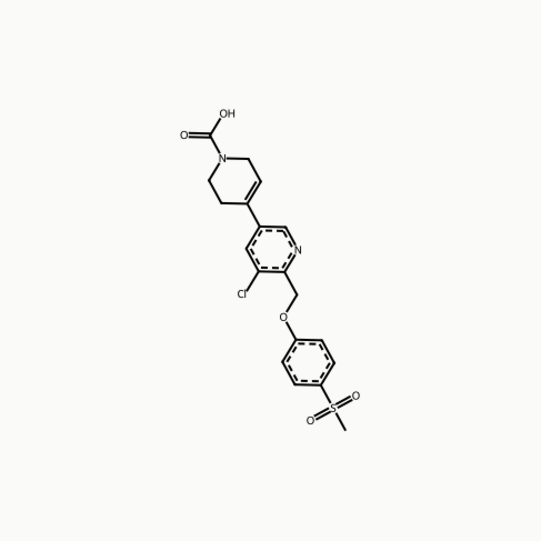 CS(=O)(=O)c1ccc(OCc2ncc(C3=CCN(C(=O)O)CC3)cc2Cl)cc1